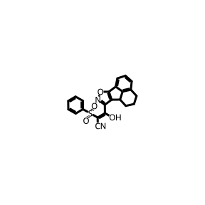 N#CC(=C(O)c1noc2c1C1CCCc3cccc-2c31)S(=O)(=O)c1ccccc1